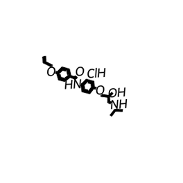 C=CCOc1ccc(C(=O)Nc2ccc(OCC(O)CNC(C)C)cc2)cc1.Cl